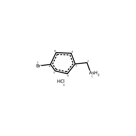 Cl.[AsH2]Cc1ccc(Br)cc1